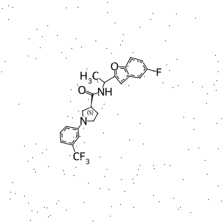 CC(NC(=O)[C@H]1CCN(c2cccc(C(F)(F)F)c2)C1)c1cc2cc(F)ccc2o1